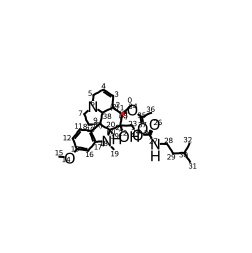 CC[C@]12C=CCN3CC[C@@]4(c5ccc(OC)cc5N(C)[C@H]4C(O)(COC(=O)NCCC(C)C)[C@@H]1OC(C)=O)C32